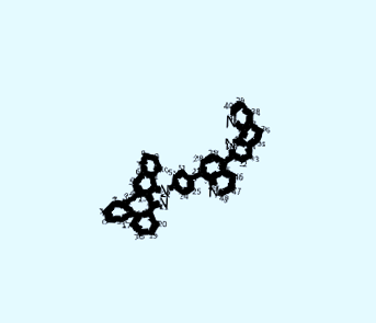 c1ccc(-c2cc3ccccc3c3c2c(-c2ccccc2)nn3-c2ccc(-c3ccc(-c4ccc5ccc6cccnc6c5n4)c4cccnc34)cc2)cc1